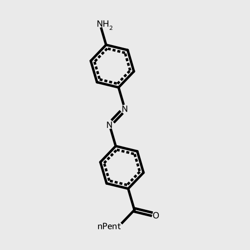 CCCCCC(=O)c1ccc(N=Nc2ccc(N)cc2)cc1